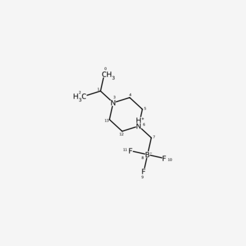 CC(C)N1CC[NH+](C[B-](F)(F)F)CC1